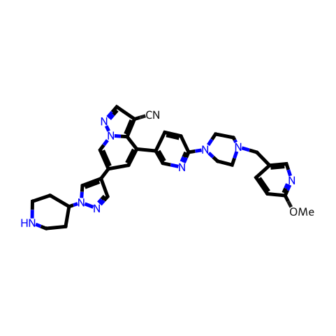 COc1ccc(CN2CCN(c3ccc(-c4cc(-c5cnn(C6CCNCC6)c5)cn5ncc(C#N)c45)cn3)CC2)cn1